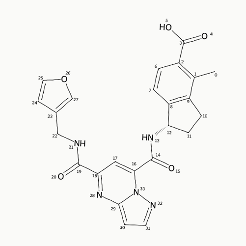 Cc1c(C(=O)O)ccc2c1CC[C@@H]2NC(=O)c1cc(C(=O)NCc2ccoc2)nc2ccnn12